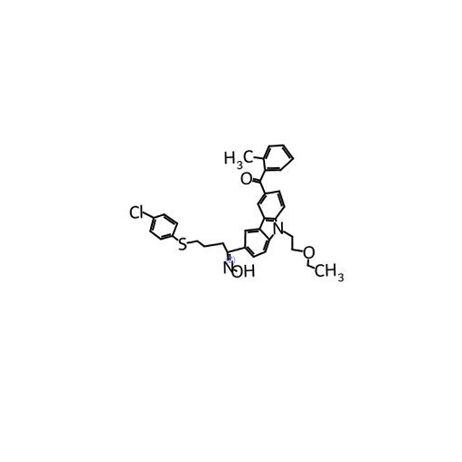 CCOCCn1c2ccc(C(=O)c3ccccc3C)cc2c2cc(/C(CCCSc3ccc(Cl)cc3)=N\O)ccc21